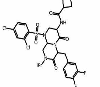 CC(C)N1CC2N(C(=O)C(NC(=O)C3CCC3)CN2S(=O)(=O)c2ccc(Cl)cc2Cl)C(Cc2ccc(F)c(F)c2)C1=O